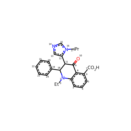 CCN1c2cccc(C(=O)O)c2C(=O)C(c2cncn2C(C)C)C1c1ccccc1